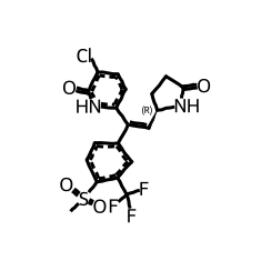 CS(=O)(=O)c1ccc(C(=C[C@H]2CCC(=O)N2)c2ccc(Cl)c(=O)[nH]2)cc1C(F)(F)F